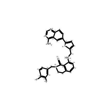 Nc1ncnc2ccc(-c3ccc(CNc4cccc5c4C(=O)N(Cc4ccc(F)c(F)c4)CC5)s3)cc12